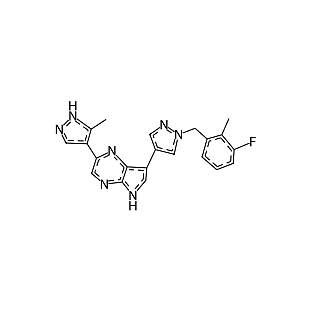 Cc1[nH]ncc1-c1cnc2[nH]cc(-c3cnn(Cc4cccc(F)c4C)c3)c2n1